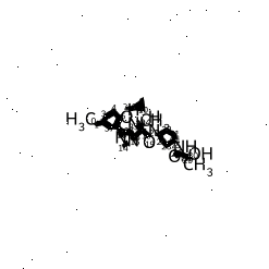 CCc1ccc(OCC2CC2)c(-c2ncnc3c(C(=O)NC4CCC(NC(=O)[C@H](C)O)CC4)c(C)[nH]c23)c1